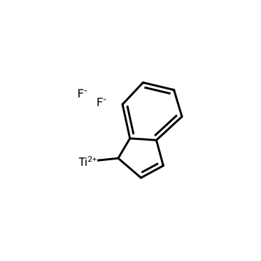 [F-].[F-].[Ti+2][CH]1C=Cc2ccccc21